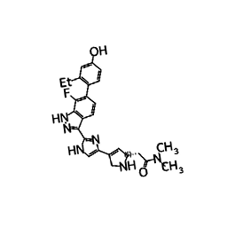 CCc1cc(O)ccc1-c1ccc2c(-c3nc(C4=C[C@H](CC(=O)N(C)C)NC4)c[nH]3)n[nH]c2c1F